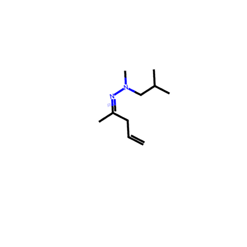 C=CC/C(C)=N\N(C)CC(C)C